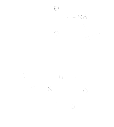 CCC(=O)NC(C)(C)CC(C)(C)C(=O)ON1C(=O)CCC1=O